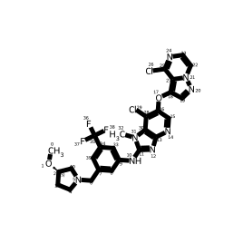 CO[C@H]1CCN(Cc2cc(Nc3nc4ncc(Oc5cnn6ccnc(Cl)c56)c(Cl)c4n3C)cc(C(F)(F)F)c2)C1